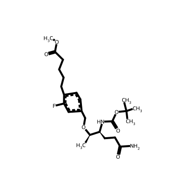 COC(=O)CCCCc1ccc(CO[C@H](C)[C@H](CCC(N)=O)NC(=O)OC(C)(C)C)cc1F